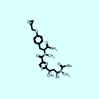 CCCCC(=O)N(C)[C@H](C[C@@H](OC(C)=O)c1nc(C(=O)N(C)C(Cc2ccc(OCC3CO3)cc2)C(N)=O)cs1)C(C)C